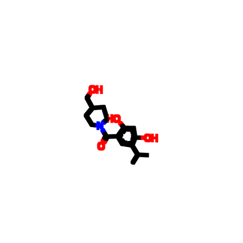 CC(C)c1cc(C(=O)N2CCC(CO)CC2)c(O)cc1O